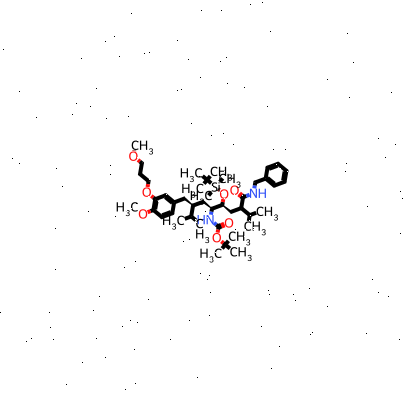 COCCCOc1cc(C[C@@H](C[C@H](NC(=O)OC(C)(C)C)[C@H](CC(C(=O)NCc2ccccc2)C(C)C)O[Si](C)(C)C(C)(C)C)C(C)C)ccc1OC